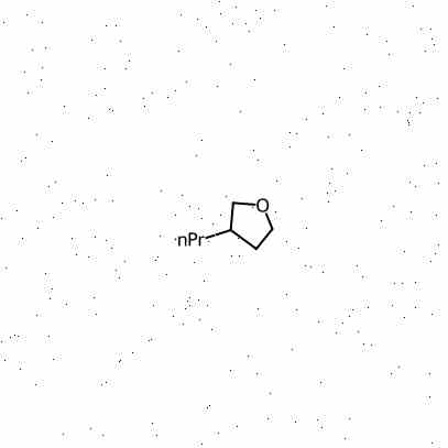 CC[CH]C1CCOC1